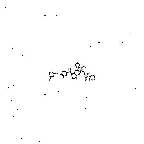 CCC(NCCS(=O)(=O)c1ccccn1)C1(c2cc3c(Nc4ccc(OCc5cccc(F)c5)c(Cl)c4)ncnc3cn2)CC=CO1